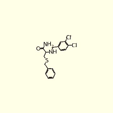 NC(=O)C(CSCc1ccccc1)NCc1ccc(Cl)c(Cl)c1